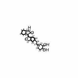 O=C1Nc2ccccc2C1=C1OCc2cc(CCN3CCC(O)C(O)C3)ccc21